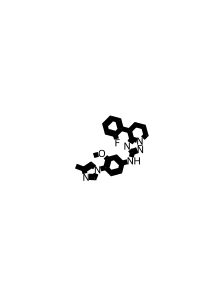 COc1cc(Nc2nc3n(n2)CCCC3c2ccccc2F)ccc1-n1cnc(C)c1